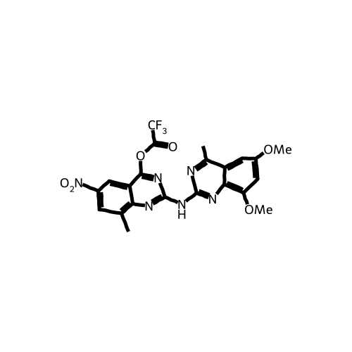 COc1cc(OC)c2nc(Nc3nc(OC(=O)C(F)(F)F)c4cc([N+](=O)[O-])cc(C)c4n3)nc(C)c2c1